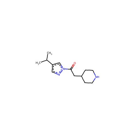 CC(C)c1cnn(C(=O)CC2CCNCC2)c1